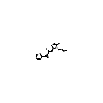 CCCCN1C(C)=CSC1=CC(=O)C1CC1c1ccccc1